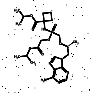 CC(C)OC(=O)COP(=O)(CO[C@H](C)Cn1cnc2c(N)ncnc21)NC1(C(=O)OC(C)C)CCC1